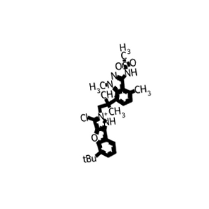 Cc1ccc(C(C)(C)C[n+]2[nH]c3c(oc4c(C(C)(C)C)cccc43)c2Cl)c2c1c(NS(C)(=O)=O)nn2C